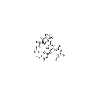 CCCC(C)OC(=O)Oc1ccc(CC(N)(C[C@H](C)OC(=O)CCC(C)C)C(=O)O)cc1OC(=O)OC(C)CCC